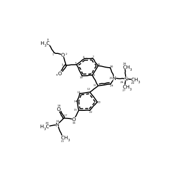 CCOC(=O)c1ccc2c(c1)C(c1ccc(OC(=O)N(C)C)cc1)=CN([Si](C)(C)C)C2